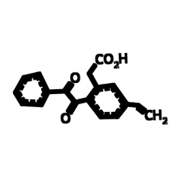 C=Cc1ccc(C(=O)C(=O)c2ccccc2)c(CC(=O)O)c1